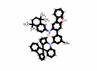 CC(C)(C)c1cc2c3c(c1)N1c4ccccc4C4(c5ccccc5-c5ccccc54)c4cccc(c41)B3N(c1ccc3c(c1)C(C)(C)CCC3(C)C)c1cc3c(cc1-2)oc1ccccc13